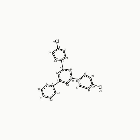 Clc1ccc(-c2cc(-c3ccccc3)cc(-c3ccc(Cl)cc3)c2)cc1